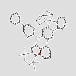 CC1(C)CCC(C)(C)c2cc(N(c3ccc(-c4ccccc4)cc3)c3cc4c(cc3-c3ccccc3)-c3ccccc3C43C4CC5CC(C4)C3C5)ccc21